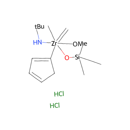 Cl.Cl.[CH2]=[Zr]([CH3])([NH]C(C)(C)C)([O]C)([O][Si](C)(C)C)[C]1=CC=CC1